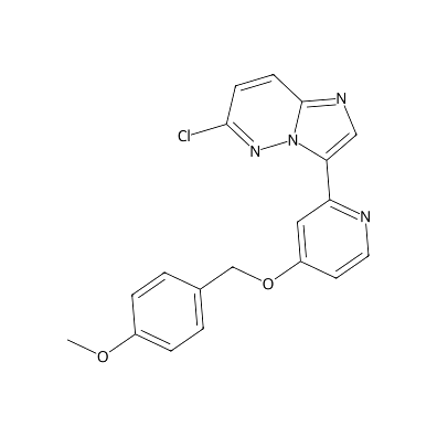 COc1ccc(COc2ccnc(-c3cnc4ccc(Cl)nn34)c2)cc1